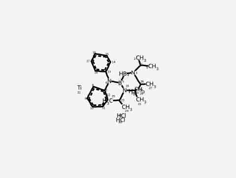 CC(C)N(BB(N(c1ccccc1)c1ccccc1)N(C(C)C)C(C)C)C(C)C.Cl.Cl.[Ti]